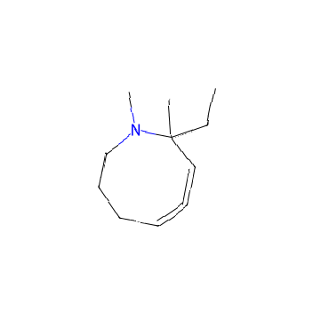 CCC1(C)C=C=CCCCN1C